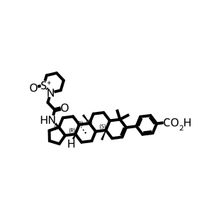 CC1(C)C(c2ccc(C(=O)O)cc2)=CC[C@@]2(C)C1CC[C@]1(C)C2CC[C@@H]2C3CCC[C@]3(NC(=O)CN3CCCC[S+]3[O-])CC[C@]21C